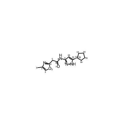 Cc1coc(CC(=O)Nc2cc([C@H]3C[CH]CC3)[nH]n2)n1